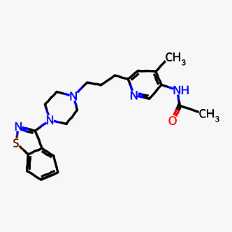 CC(=O)Nc1cnc(CCCN2CCN(c3nsc4ccccc34)CC2)cc1C